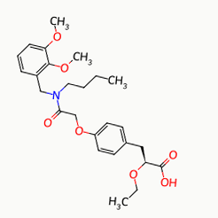 CCCCN(Cc1cccc(OC)c1OC)C(=O)COc1ccc(C[C@H](OCC)C(=O)O)cc1